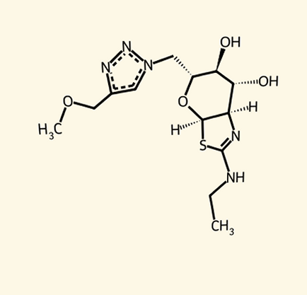 CCNC1=N[C@@H]2[C@@H](O)[C@H](O)[C@@H](Cn3cc(COC)nn3)O[C@@H]2S1